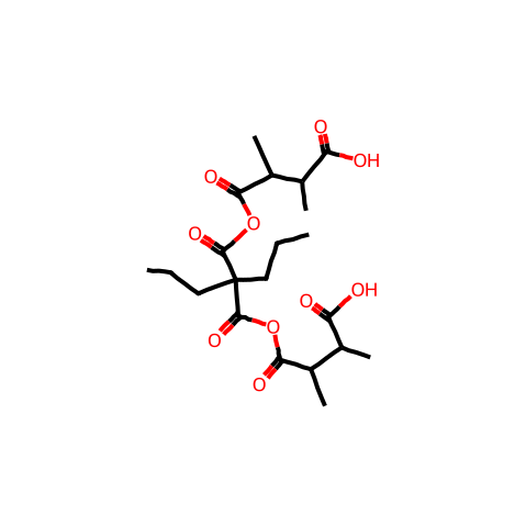 CCCC(CCC)(C(=O)OC(=O)C(C)C(C)C(=O)O)C(=O)OC(=O)C(C)C(C)C(=O)O